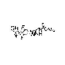 COC(=S)NCc1cn(-c2cc(F)c(-n3cnc(CO)c3)c(F)c2)nn1